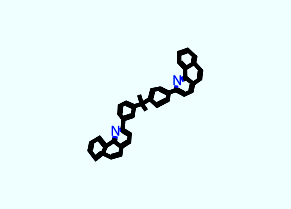 CC(C)(c1ccc(-c2ccc3ccc4ccccc4c3n2)cc1)c1cccc(-c2ccc3ccc4ccccc4c3n2)c1